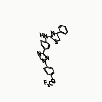 FC(F)(F)Oc1ccc(-n2cnc(-c3ccc(NC4=NC(c5ccccc5)CS4)cc3)n2)cc1